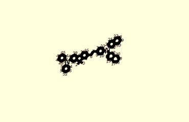 CC1(C)c2cc(/C=C/c3ccc(N(C4=CC=C5C=CC=CC5C4)c4ccc5ccccc5c4)cc3)ccc2-c2ccc(N(c3ccccc3)c3ccccc3)cc21